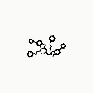 CCC(=Cc1oc2ccc(-c3cccs3)cc2[n+]1CCOc1ccccc1)C=C1Oc2ccc(-c3cccs3)cc2N1CCOc1ccccc1